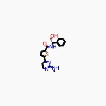 CNc1nccc(-c2ccc(C(=O)N[C@H](CO)c3ccccc3)s2)n1